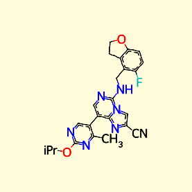 Cc1nc(OC(C)C)ncc1-c1cnc(NCc2c(F)ccc3c2CCO3)n2cc(C#N)nc12